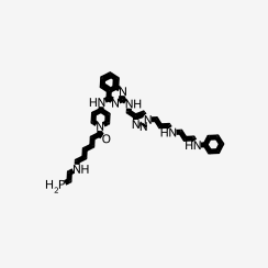 O=C(CCCCCNCCP)N1CCC(Nc2nc(NCc3cn(CCCNCCCNC4CCCCC4)nn3)nc3ccccc23)CC1